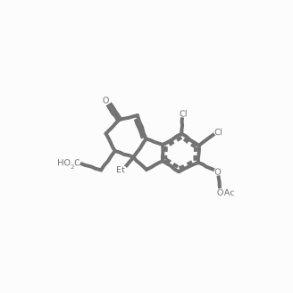 CCC12Cc3cc(OOC(C)=O)c(Cl)c(Cl)c3C1=CC(=O)CC2CC(=O)O